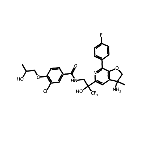 CC(O)COc1ccc(C(=O)NCC(O)(c2cc3c(c(-c4ccc(F)cc4)n2)OCC3(C)N)C(F)(F)F)cc1Cl